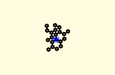 c1ccc(-c2cccc(-c3cc(-c4cccc(-c5ccccc5)c4)cc(-c4ccccc4-c4ccc(-c5nc(-c6cccc(-c7cc(-c8ccccc8)cc(-c8ccccc8)c7)c6)nc(-c6cc(-c7ccccc7)cc(-c7ccccc7)c6)n5)cc4-c4cc(-c5cccc(-c6ccccc6)c5)cc(-c5cccc(-c6ccccc6)c5)c4)c3)c2)cc1